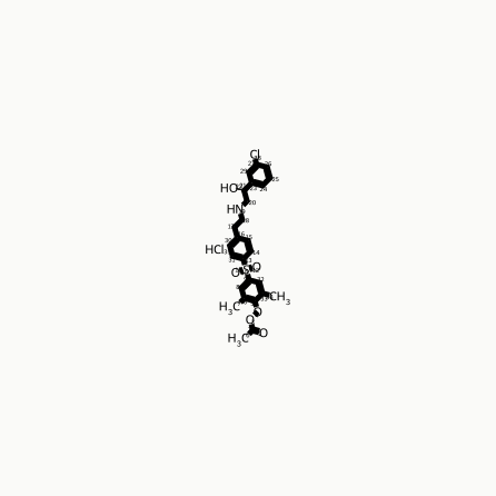 CC(=O)OOc1c(C)cc(S(=O)(=O)c2ccc(CCNC[C@H](O)c3cccc(Cl)c3)cc2)cc1C.Cl